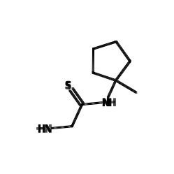 CC1(NC(=S)C[NH])CCCC1